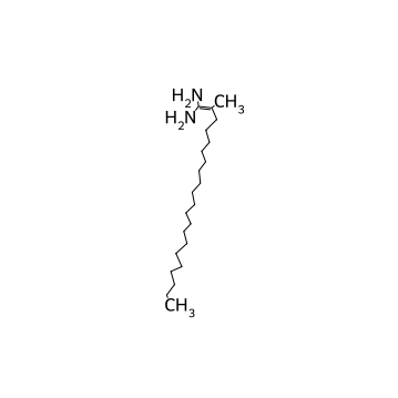 CCCCCCCCCCCCCCCCCCCC(C)=C(N)N